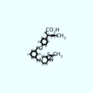 CC#CC(CC(=O)O)c1ccc(OCc2cccc(CN3CCc4nc(C)sc4C3)c2)cc1